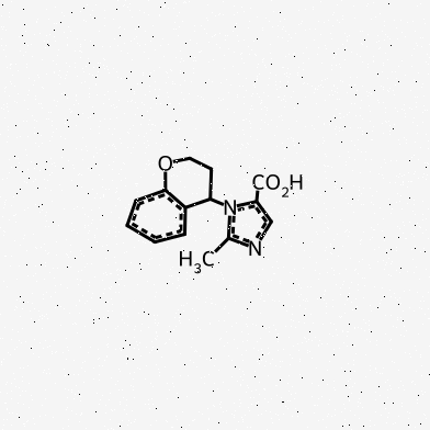 Cc1ncc(C(=O)O)n1C1CCOc2ccccc21